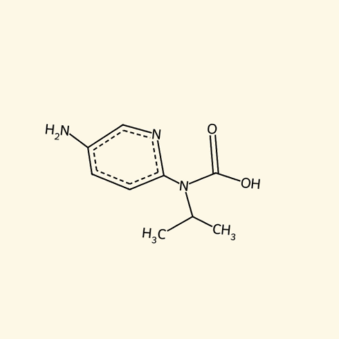 CC(C)N(C(=O)O)c1ccc(N)cn1